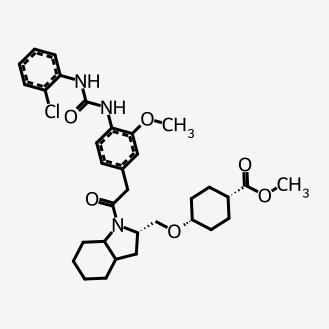 COc1cc(CC(=O)N2C3CCCCC3C[C@H]2CO[C@H]2CC[C@@H](C(=O)OC)CC2)ccc1NC(=O)Nc1ccccc1Cl